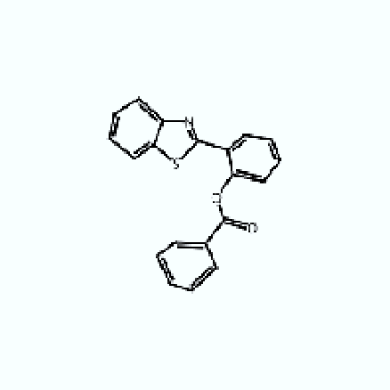 O=C(Oc1ccccc1-c1nc2ccccc2s1)c1ccccc1